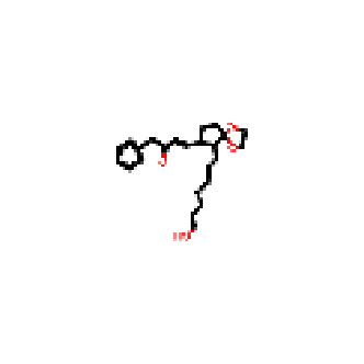 O=C(C=CC1CCC2(OCCO2)C1CCCCCCCO)Cc1ccccc1